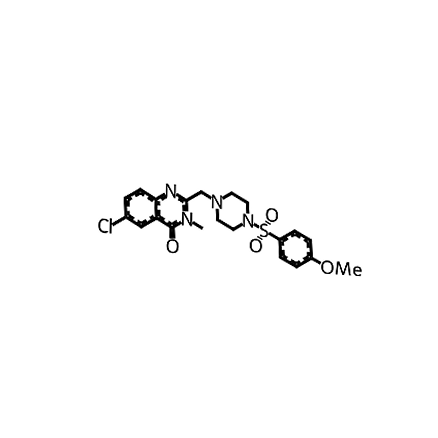 COc1ccc(S(=O)(=O)N2CCN(Cc3nc4ccc(Cl)cc4c(=O)n3C)CC2)cc1